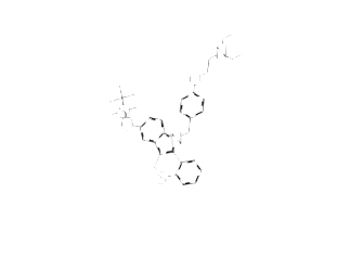 CCN(CC)CCOc1ccc(Cn2c3c(c4cc(O[Si](C)(C)C(C)(C)C)ccc42)CSc2ccccc2-3)cc1